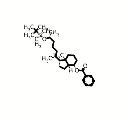 C[C@H](CCC[C@H](C)[C@H]1CC[C@H]2[C@@H](OC(=O)c3ccccc3)CCC[C@]12C)O[Si](C)(C)C(C)(C)C